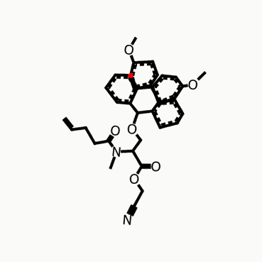 C=CCCC(=O)N(C)C(COC(c1ccccc1-c1ccc(OC)cc1)c1ccccc1-c1ccc(OC)cc1)C(=O)OCC#N